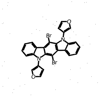 Brc1c2c3ccccc3n(-c3ccoc3)c2c(Br)c2c3ccccc3n(-c3ccoc3)c12